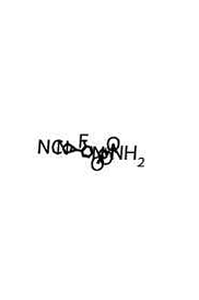 N#CN1CC2C(C1)C2c1ccc(N2C[C@H](C(N)=O)OC2=O)cc1F